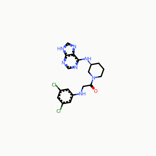 O=C(CNc1cc(Cl)cc(Cl)c1)N1CCC[C@H](Nc2ncnc3[nH]cnc23)C1